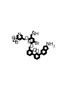 CNCc1cc(Br)c(OCc2cccc(-c3cccc(-c4ccc5c(c4)C[C@@H](N)C5)c3Cl)c2Cl)nc1OCc1cncc(S(C)(=O)=O)c1